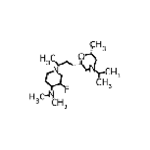 CC(C)N1C[C@H](CCC(C)N2CCC(N(C)C)C(F)C2)O[C@H](C)C1